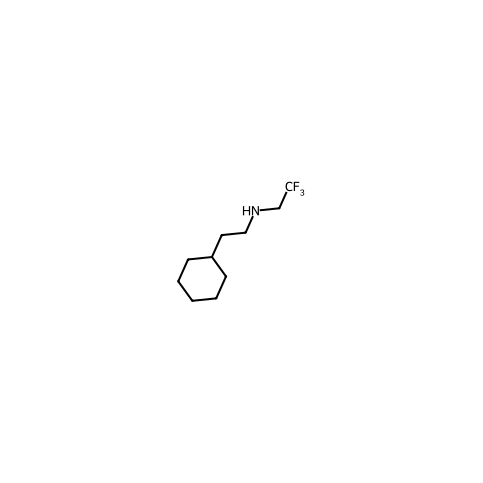 FC(F)(F)CNCCC1CCCCC1